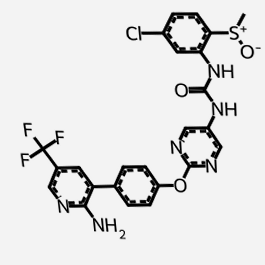 C[S+]([O-])c1ccc(Cl)cc1NC(=O)Nc1cnc(Oc2ccc(-c3cc(C(F)(F)F)cnc3N)cc2)nc1